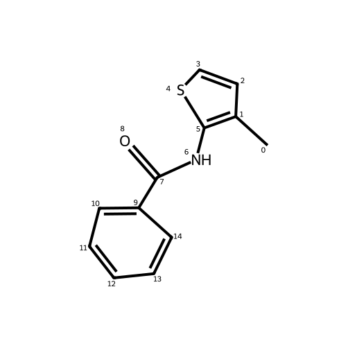 Cc1ccsc1NC(=O)c1ccccc1